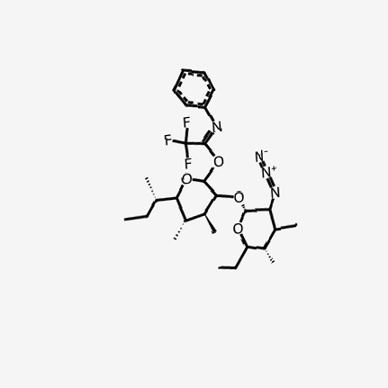 CCC1O[C@H](OC2C(O/C(=N/c3ccccc3)C(F)(F)F)OC([C@@H](C)CC)[C@@H](C)[C@@H]2C)C(N=[N+]=[N-])C(C)[C@@H]1C